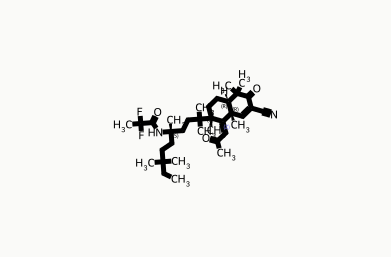 CCC(C)(C)CC[C@@](C)(CCC(C)(C)[C@]1(C)CC[C@H]2C(C)(C)C(=O)C(C#N)=C[C@]2(C)/C1=C/C(C)=O)NC(=O)C(C)(F)F